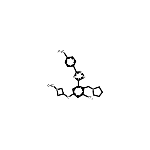 COc1ccc(-c2nnc(-c3cc(OC4CN(C=O)C4)cc(C(F)(F)F)c3CN3CCCC3)o2)cc1